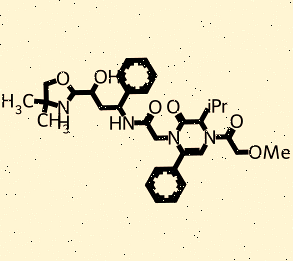 COCC(=O)N1C=C(c2ccccc2)N(CC(=O)NC(CC(O)C2NC(C)(C)CO2)c2ccccc2)C(=O)C1C(C)C